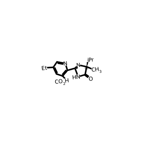 CCc1cnc(C2=N[C@@](C)(C(C)C)C(=O)N2)c(C(=O)O)c1